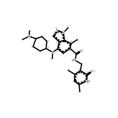 Cc1cc(C)c(CNC(=O)c2cc(N(C)C3CCC(N(C)C)CC3)c3cnn(C)c3c2C)c(=O)[nH]1